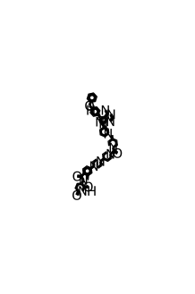 Nc1ncnc2c1c(-c1ccc(Oc3ccccc3)cc1)nn2C1CCCN(CC2CCN(C(=O)N3CCC(N4CCN(c5ccc6c(c5)CN(C5CCC(=O)NC5=O)C6=O)CC4)CC3)CC2)C1